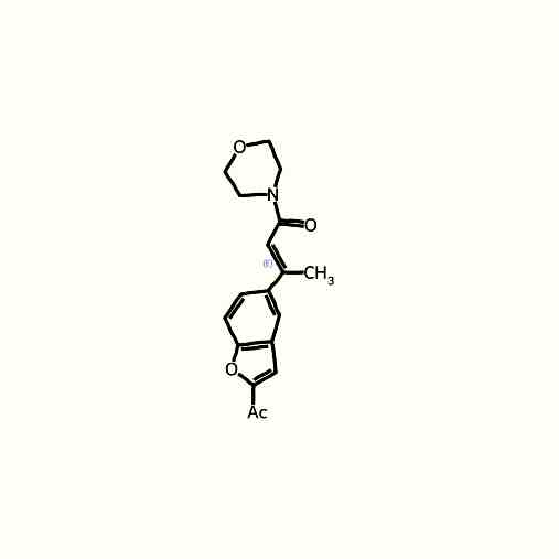 CC(=O)c1cc2cc(/C(C)=C/C(=O)N3CCOCC3)ccc2o1